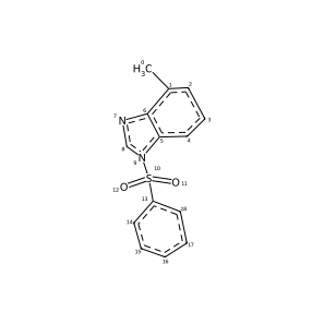 Cc1cccc2c1ncn2S(=O)(=O)c1ccccc1